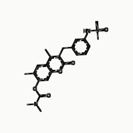 C=S(C)(=O)Nc1cccc(Cc2c(C)c3cc(C)c(OC(=O)N(C)C)cc3oc2=O)c1